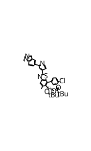 Cc1cc2nc(-c3ccnc(-c4ccc5c(cnn5C)c4)c3)sc2c(-c2ccc(Cl)cc2)c1[C@@H](COC(=O)C(C)(C)C)OC(C)(C)C